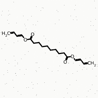 C=CC=COC(=O)CCCCCCCCC(=O)OC=CC=C